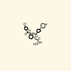 COc1ccc(C(=O)Nc2cccc(OCC(=O)O)c2NC(=O)c2ccc(N3CCCN(C)CC3)cc2)cc1.Cl